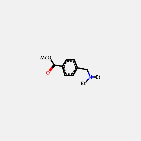 CCN(CC)Cc1ccc(C(=O)OC)cc1